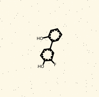 Oc1ccc(-c2ccccc2O)cc1F